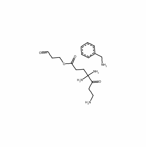 NCCC(=O)C(N)(N)CCC(=O)OCCC=O.NCc1ccccc1